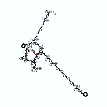 N=C(N)NCCC[C@@H]1NC(=O)[C@@H]2CSSC[C@H](NC(=O)[C@H](CC(=O)O)NC(=O)CNC1=O)C(=O)N[C@@H](Cc1ccccc1)C(=O)N[C@H](C(=O)NCCOCCOCCOCCNC(=O)COCC(N)=O)CSCC(=O)N[C@@H](CCCCNC(=O)COCC(=O)NCCOCCOCCOCCOCCOCCNC(=O)CO/N=C/c1ccccc1)C(=O)N2